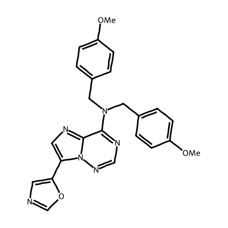 COc1ccc(CN(Cc2ccc(OC)cc2)c2ncnn3c(-c4cnco4)cnc23)cc1